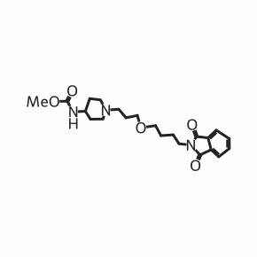 COC(=O)NC1CCN(CCCOCCCCN2C(=O)c3ccccc3C2=O)CC1